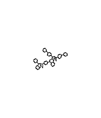 c1ccc(-c2ccc(-c3cc(-c4ccc(-c5ccccc5)cc4)c4cc(-c5ccc(-c6cc(-c7ccccc7)c7ccccc7n6)cc5)c5ccccc5c4n3)cc2)cc1